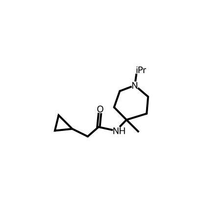 CC(C)N1CCC(C)(NC(=O)CC2CC2)CC1